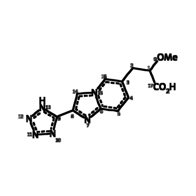 COC(Cc1ccc2nc(-c3nnn[nH]3)cn2c1)C(=O)O